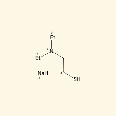 CCN(CC)CCS.[NaH]